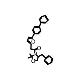 CC1(C)OCC(Cc2ccccc2)N1C(=O)Cc1ccc(-c2ccc(-c3ccccc3)cc2)o1